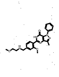 COCCNCc1ccc(-c2nc3c(C)nn(-c4ccccc4)c3c(=O)[nH]2)c(OC)c1